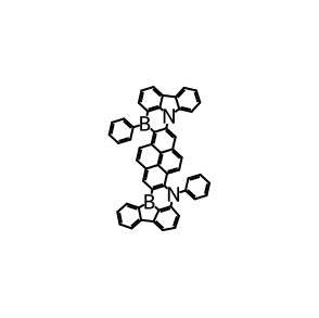 c1ccc(B2c3c(cc4ccc5c6c(cc7ccc3c4c75)B3c4ccccc4-c4cccc(c43)N6c3ccccc3)-n3c4ccccc4c4cccc2c43)cc1